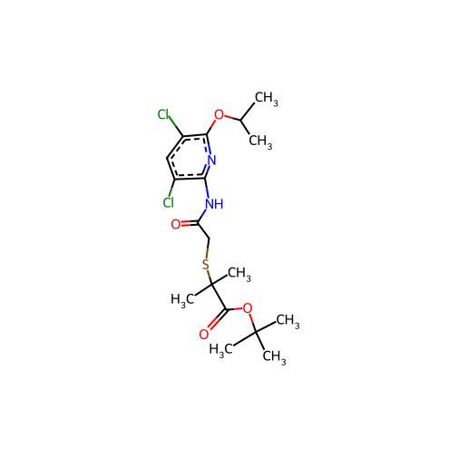 CC(C)Oc1nc(NC(=O)CSC(C)(C)C(=O)OC(C)(C)C)c(Cl)cc1Cl